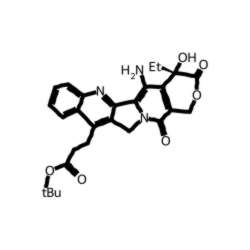 CC[C@@]1(O)C(=O)OCc2c1c(N)c1n(c2=O)Cc2c-1nc1ccccc1c2CCC(=O)OC(C)(C)C